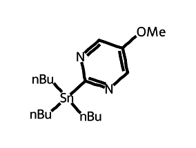 CCC[CH2][Sn]([CH2]CCC)([CH2]CCC)[c]1ncc(OC)cn1